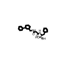 O=C(CC(=O)NC(Cc1ccccc1)B(O)O)NCc1cccc(-c2ccccc2)c1